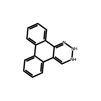 C1=c2c(c3ccccc3c3ccccc23)=NNN1